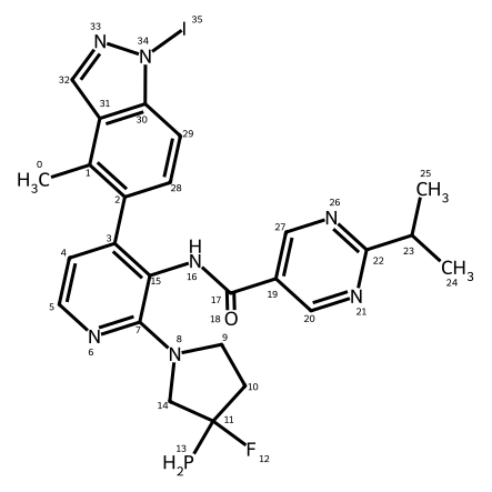 Cc1c(-c2ccnc(N3CCC(F)(P)C3)c2NC(=O)c2cnc(C(C)C)nc2)ccc2c1cnn2I